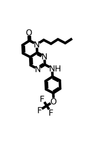 CCCCCn1c(=O)ccc2cnc(Nc3ccc(OC(F)(F)F)cc3)nc21